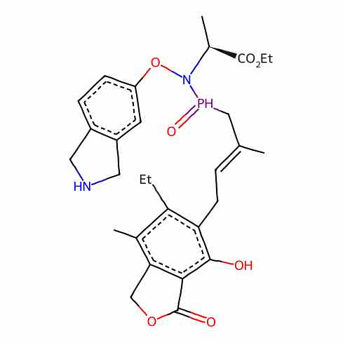 CCOC(=O)[C@H](C)N(Oc1ccc2c(c1)CNC2)[PH](=O)CC(C)=CCc1c(O)c2c(c(C)c1CC)COC2=O